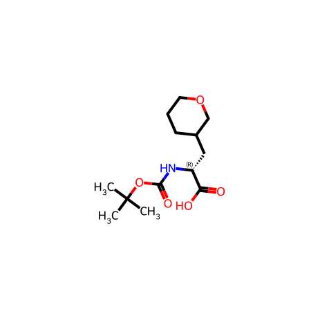 CC(C)(C)OC(=O)N[C@H](CC1CCCOC1)C(=O)O